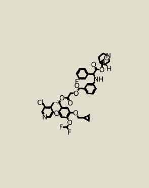 O=C(COC(=O)c1cccc(NC(C(=O)O[C@H]2CN3CCC2CC3)c2cccc(F)c2)c1)O[C@@H](Cc1c(Cl)cncc1Cl)c1ccc(OC(F)F)c(OCC2CC2)c1